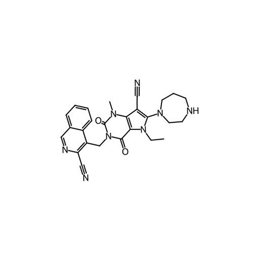 CCn1c(N2CCCNCC2)c(C#N)c2c1c(=O)n(Cc1c(C#N)ncc3ccccc13)c(=O)n2C